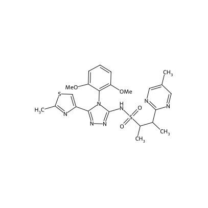 COc1cccc(OC)c1-n1c(NS(=O)(=O)C(C)C(C)c2ncc(C)cn2)nnc1-c1csc(C)n1